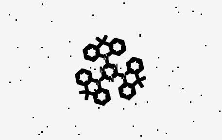 CC1(C)c2ccccc2N(c2nc(N3c4ccccc4C(C)(C)c4ccccc43)nc(N3c4ccccc4C(C)(C)c4ccccc43)n2)c2ccccc21